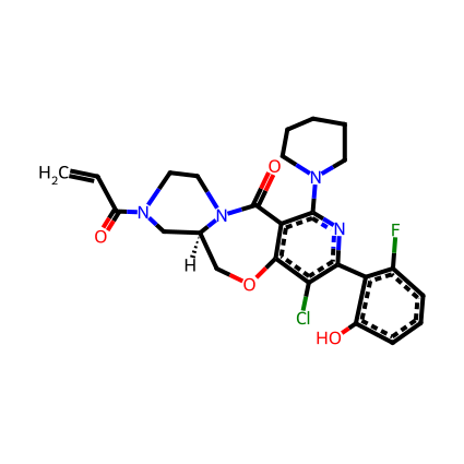 C=CC(=O)N1CCN2C(=O)c3c(N4CCCCC4)nc(-c4c(O)cccc4F)c(Cl)c3OC[C@H]2C1